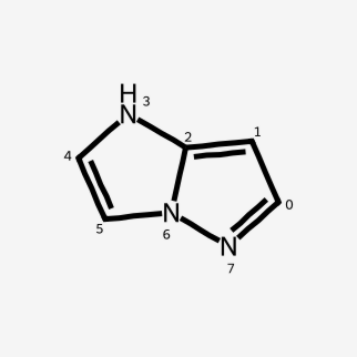 c1cc2[nH]ccn2n1